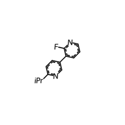 CC(C)c1ccc(-c2cccnc2F)cn1